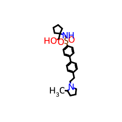 CC1CCCN1CCc1ccc(-c2ccc(S(=O)(=O)NC3(CO)CCCC3)cc2)cc1